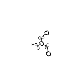 O=C(O)c1cc(C(=O)OCc2ccccc2)cc(C(=O)OCc2ccccc2)c1